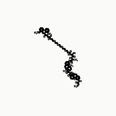 C=Cc1ccccc1CN(C(=O)CCC(=O)NCCOCCOCCOCCOCCC(=O)N[C@H](C(=O)N[C@@H](C)C(=O)Nc1ccc2c(c1)[C@@]1(C)CCC[C@](C)(C(=O)NC(=O)[C@@]3(C)CCC[C@]4(C)c5cc(NC(=O)CN)ccc5CC[C@@H]34)[C@@H]1CC2)C(C)C)c1ccccc1C